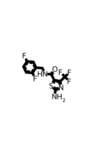 Nc1nc(C(F)(F)F)c(C(=O)NCc2cc(F)ccc2F)s1